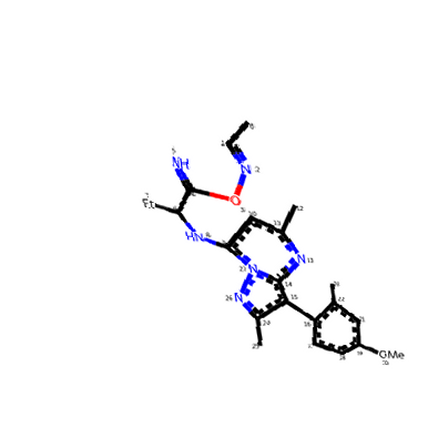 C/C=N/OC(=N)C(CC)Nc1cc(C)nc2c(-c3ccc(OC)cc3C)c(C)nn12